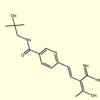 CCCCC(=N)C(/C=C/c1ccc(C(=O)NCC(C)(C)O)cn1)=C(/C)O